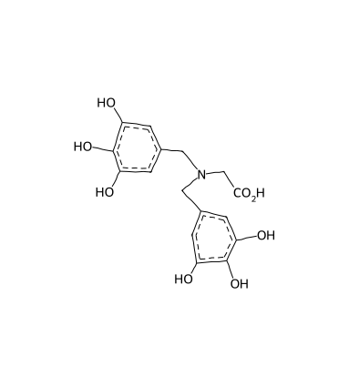 O=C(O)CN(Cc1cc(O)c(O)c(O)c1)Cc1cc(O)c(O)c(O)c1